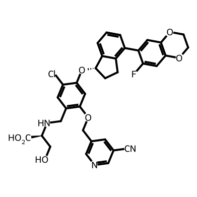 N#Cc1cncc(COc2cc(O[C@H]3CCc4c(-c5cc6c(cc5F)OCCO6)cccc43)c(Cl)cc2CN[C@@H](CO)C(=O)O)c1